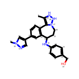 CC1=C2c3ccc(-c4cnn(C)c4)cc3C(Nc3ccc(CO)cc3)CCN2NN1